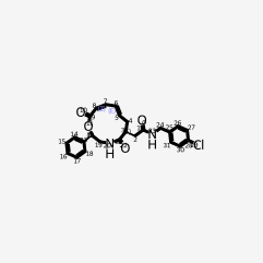 O=C(C[C@@H]1C/C=C/C=C\C(=O)O[C@H](c2ccccc2)CNC1=O)NCc1ccc(Cl)cc1